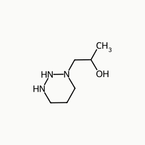 CC(O)CN1CCCNN1